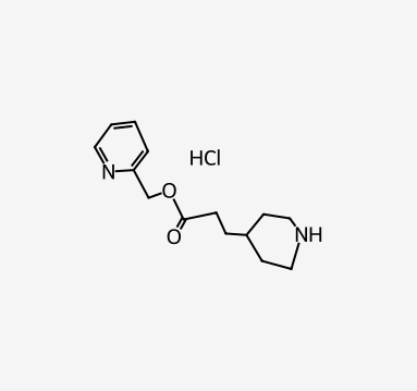 Cl.O=C(CCC1CCNCC1)OCc1ccccn1